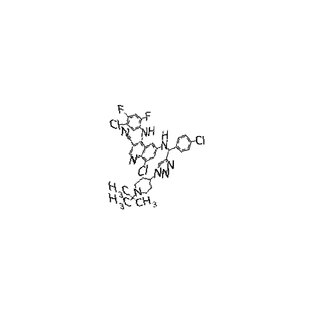 CC(C)(C)N1CCC(n2cc(C(Nc3cc(Cl)c4ncc(C#N)c(Nc5cc(Cl)c(F)cc5F)c4c3)c3ccc(Cl)cc3)nn2)CC1